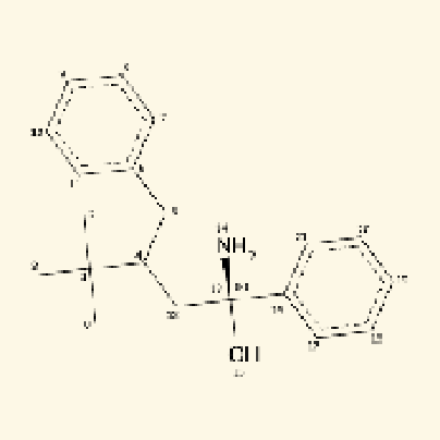 CC(C)(C)C(Cc1ccccc1)C[C@@](N)(O)c1ccccc1